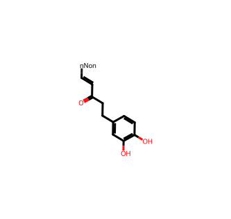 CCCCCCCCCC=CC(=O)CCc1ccc(O)c(O)c1